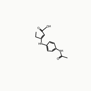 CCC(=CC(=O)O)Nc1ccc(NC(C)=O)cc1